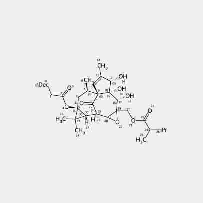 CCCCCCCCCCCC(=O)O[C@@]12C[C@@H](C)[C@]34C=C(C)[C@H](O)[C@@]3(O)[C@H](O)C3(COC(=O)C(C)C(C)C)OC3[C@H](C4=O)[C@@H]1C2(C)C